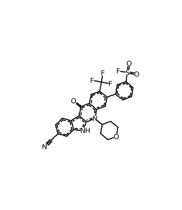 N#Cc1ccc2c(c1)[nH]c1c2c(=O)c2cc(C(F)(F)F)c(-c3cccc(S(=O)(=O)F)c3)cc2n1C1CCOCC1